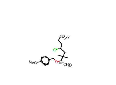 COc1ccc(CO[C@@H](C=O)C(C)(C)CC(Cl)CCS(=O)(=O)O)cc1